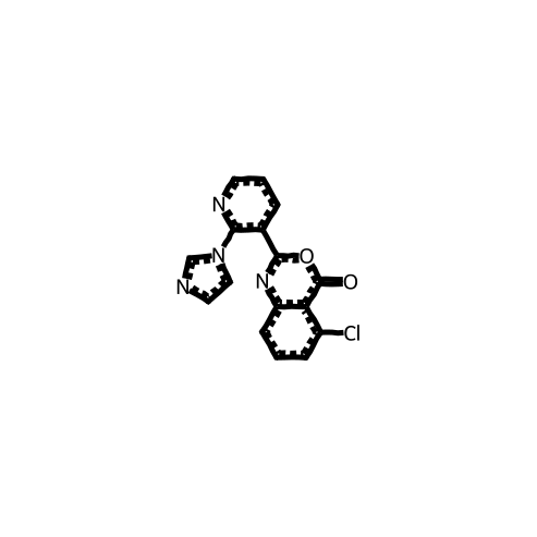 O=c1oc(-c2cccnc2-n2ccnc2)nc2cccc(Cl)c12